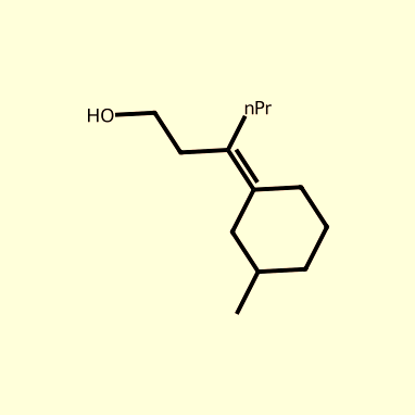 CCCC(CCO)=C1CCCC(C)C1